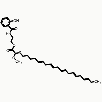 CCC=CCC=CCC=CCC=CCC=CCCCCSC(OC)C(=O)OCCNC(=O)c1ccccc1O